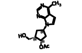 CC(=O)O[C@H]1C[C@H](n2ccc3c(C)ncnc32)C[C@H]1CO